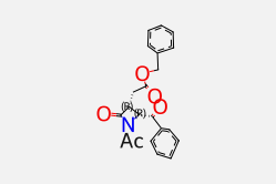 CC(=O)N1C(=O)[C@H](CC(=O)OCc2ccccc2)[C@@H]1C(=O)c1ccccc1